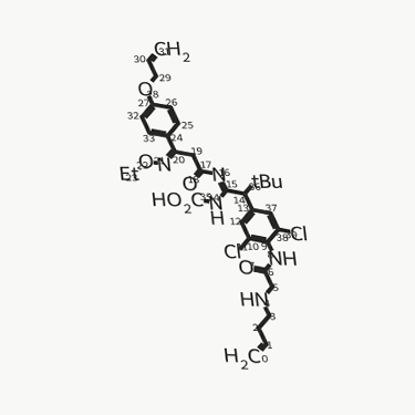 C=CCCNCC(=O)Nc1c(Cl)cc(C(C(=NC(=O)CC(=NOCC)c2ccc(OCC=C)cc2)NC(=O)O)C(C)(C)C)cc1Cl